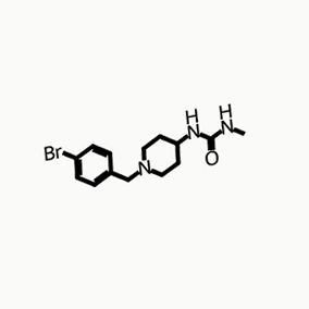 CNC(=O)NC1CCN(Cc2ccc(Br)cc2)CC1